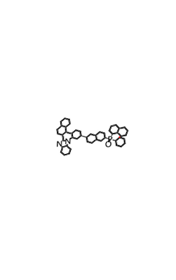 O=P(c1ccccc1)(c1ccc2cc(-c3ccc4c5c6ccccc6ccc5c5nc6ccccc6n5c4c3)ccc2c1)c1cccc2ccccc12